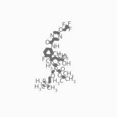 C[C@@H]1[C@@](C)(C(=O)O)SC(N(COCC[Si](C)(C)C)C(=O)OC(C)(C)C)=N[C@]1(C)c1cc(NC(=O)c2cnc(OCC(F)(F)F)cn2)ccc1F